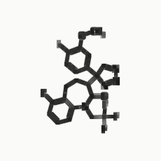 COc1cc(C2(C3CCc4c(F)cccc4N(CC(F)(F)F)C3=O)C=NN=N2)ccc1I